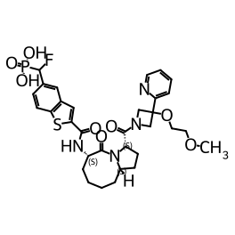 COCCOC1(c2ccccn2)CN(C(=O)[C@@H]2CC[C@@H]3CCCC[C@H](NC(=O)c4cc5cc(C(F)P(=O)(O)O)ccc5s4)C(=O)N32)C1